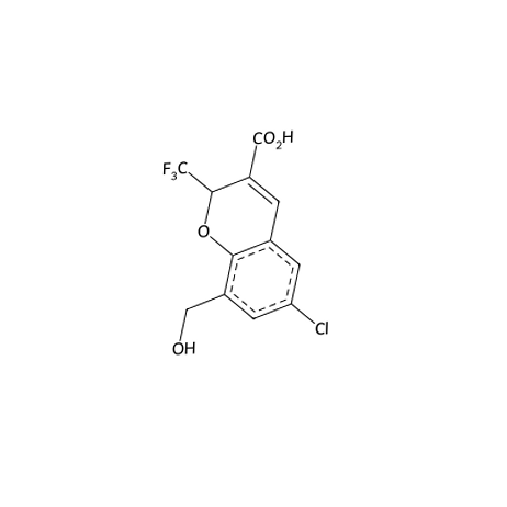 O=C(O)C1=Cc2cc(Cl)cc(CO)c2OC1C(F)(F)F